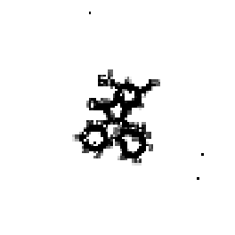 CC1c2cc(F)cc(Br)c2C(=O)N1C1CCCCN1C1CCCCC1